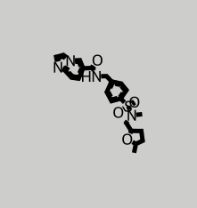 CC1CCC(CN(C)S(=O)(=O)c2ccc(CNC(=O)c3ccc4nccn4c3)cc2)O1